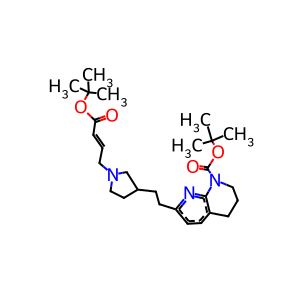 CC(C)(C)OC(=O)C=CCN1CCC(CCc2ccc3c(n2)N(C(=O)OC(C)(C)C)CCC3)C1